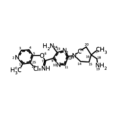 Cc1nccc(OC(=N)c2ncc(N3CCC(C)(CN)CC3)nc2N)c1Cl